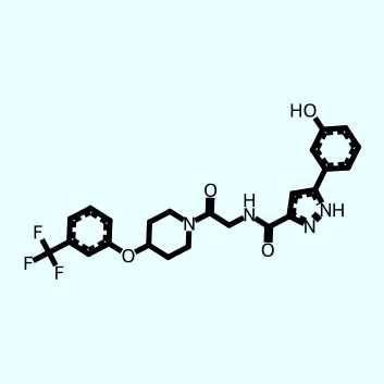 O=C(NCC(=O)N1CCC(Oc2cccc(C(F)(F)F)c2)CC1)c1cc(-c2cccc(O)c2)[nH]n1